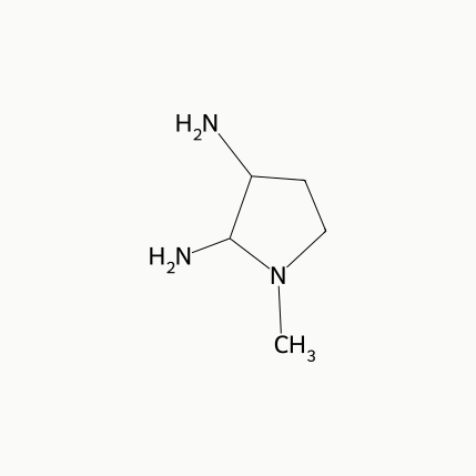 CN1CCC(N)C1N